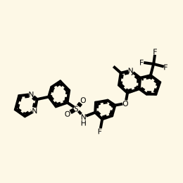 Cc1cc(Oc2ccc(NS(=O)(=O)c3cccc(-c4ncccn4)c3)c(F)c2)c2cccc(C(F)(F)F)c2n1